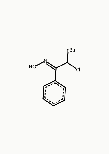 CCCCC(Cl)/C(=N/O)c1ccccc1